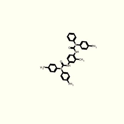 Cc1cc(NC(=O)N(c2ccc(P)cc2)c2ccc(P)cc2)ccc1NC(=O)N(c1ccccc1)c1ccc(P)cc1